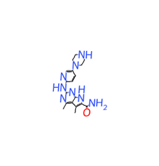 Cc1nc(Nc2ccc(N3CCNCC3)cn2)nc2[nH]c(C(N)=O)c(C)c12